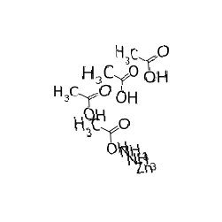 CC(=O)O.CC(=O)O.CC(=O)O.CC(=O)O.N.N.[Zn]